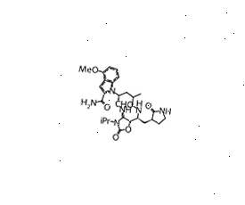 COc1cccc2c1cc(C(N)=O)n2[C@H](C=O)CC(C)CN[C@@H](C[C@@H]1CCNC1=O)C1OC(=O)N(C(C)C)C1=N